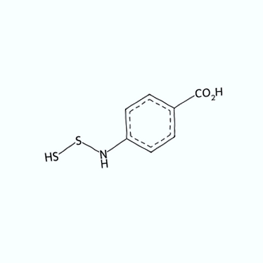 O=C(O)c1ccc(NSS)cc1